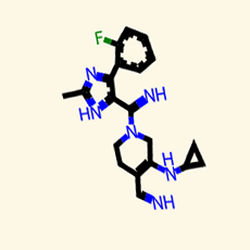 Cc1nc(-c2ccccc2F)c(C(=N)N2CCC(C=N)=C(NC3CC3)C2)[nH]1